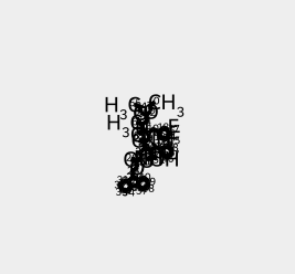 CCOC(CN(C)C(=O)C(Cc1ccc(F)c(F)c1)NC(=O)C(CNC(=O)OCC1c2ccccc2-c2ccccc21)N(Cc1ccccc1)C(=O)O)OCC